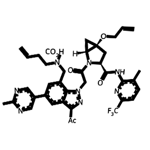 C=CCCN(Cc1cc(-c2cnc(C)nc2)cc2c(C(C)=O)nn(CC(=O)N3[C@H](C(=O)Nc4nc(C(F)(F)F)ccc4C)C[C@@]4(OCC=C)C[C@@H]34)c12)C(=O)O